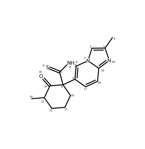 Cc1cn2cc(C3(C(N)=S)CCCC(C)C3=O)ccc2n1